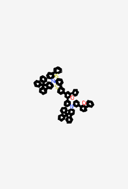 c1ccc(C2(c3ccccc3)c3ccccc3-c3ccc(N(c4cccc(-c5cccc6c5oc5ccccc56)c4)c4cccc(-c5cc(-c6ccc7sc8c(N(c9ccc%10c(c9)C(c9ccccc9)(c9ccccc9)c9ccccc9-%10)c9cccc%10c9sc9ccccc9%10)cccc8c7c6)cc6c5oc5ccccc56)c4)cc32)cc1